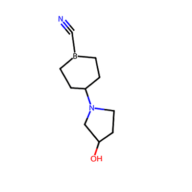 N#CB1CCC(N2CCC(O)C2)CC1